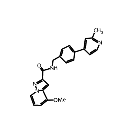 COc1cccn2nc(C(=O)NCc3ccc(-c4ccnc(C)c4)cc3)cc12